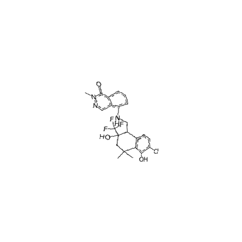 Cn1ncc2c(NCC3c4ccc(Cl)c(O)c4C(C)(C)CC3(O)C(F)(F)F)cccc2c1=O